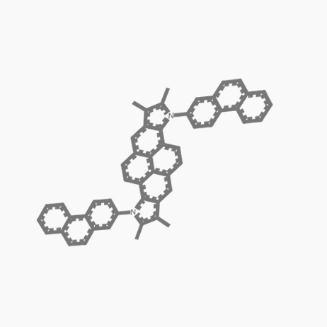 Cc1c(C)n(-c2ccc3c(ccc4ccccc43)c2)c2c1cc1ccc3c4c(ccc2c14)cc1c(C)c(C)n(-c2ccc4c(ccc5ccccc54)c2)c13